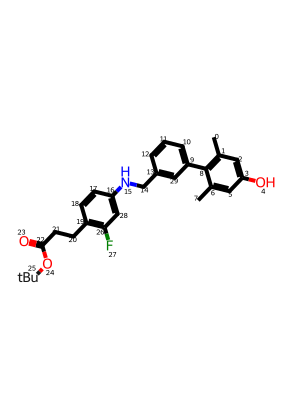 Cc1cc(O)cc(C)c1-c1cccc(CNc2ccc(CCC(=O)OC(C)(C)C)c(F)c2)c1